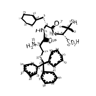 CC(C)(S)[C@@H](NC(=O)[C@@H](CC1CCCCC1)NC(=O)[C@@H](N)CSC(c1ccccc1)(c1ccccc1)c1ccccc1)C(=O)O